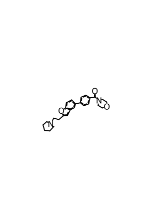 O=C(c1ccc(-c2ccc3oc(CCN4CCCCC4)cc3c2)cc1)N1CCOCC1